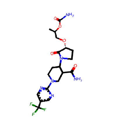 CC(CO[C@@H]1CCN(C2CCN(c3ncc(C(F)(F)F)cn3)CC2C(N)=O)C1=O)OC(N)=O